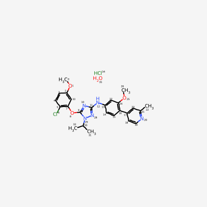 COc1ccc(Cl)c(Oc2nc(Nc3ccc(-c4ccnc(C)c4)c(OC)c3)nn2C(C)C)c1.Cl.O